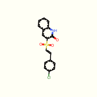 O=c1[nH]c2ccccc2cc1S(=O)(=O)C=Cc1ccc(Cl)cc1